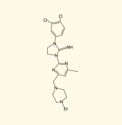 CCN1CCN(Cc2cc(C)nc(N3CCN(c4ccc(Cl)c(Cl)c4)C3=N)n2)CC1